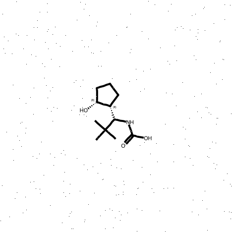 CC(C)(C)C(NC(=O)O)[C@H]1CCC[C@H]1O